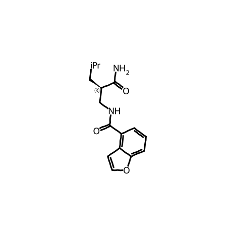 CC(C)C[C@H](CNC(=O)c1cccc2occc12)C(N)=O